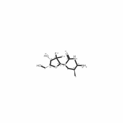 C[C@H]1CN([C@H]2O[C@H](CO)[C@H](O)C2(F)F)C(=O)NC1N